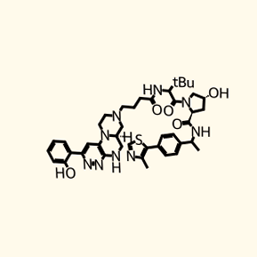 Cc1ncsc1-c1ccc(C(C)NC(=O)[C@@H]2C[C@@H](O)CN2C(=O)C(NC(=O)CCCN2CCN3c4cc(-c5ccccc5O)nnc4NC[C@@H]3C2)C(C)(C)C)cc1